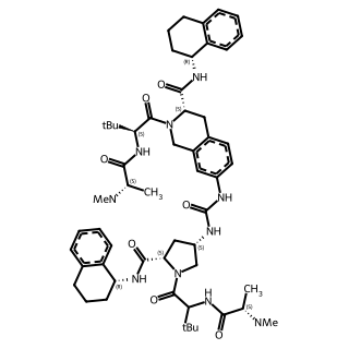 CN[C@@H](C)C(=O)NC(C(=O)N1C[C@@H](NC(=O)Nc2ccc3c(c2)CN(C(=O)[C@@H](NC(=O)[C@H](C)NC)C(C)(C)C)[C@H](C(=O)N[C@@H]2CCCc4ccccc42)C3)C[C@H]1C(=O)N[C@@H]1CCCc2ccccc21)C(C)(C)C